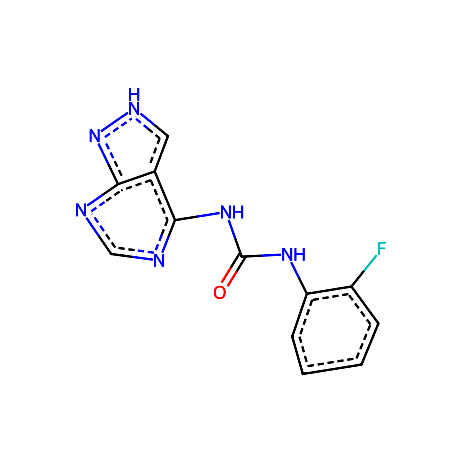 O=C(Nc1ccccc1F)Nc1ncnc2n[nH]cc12